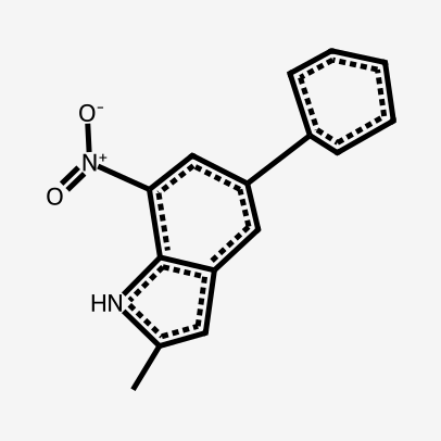 Cc1cc2cc(-c3ccccc3)cc([N+](=O)[O-])c2[nH]1